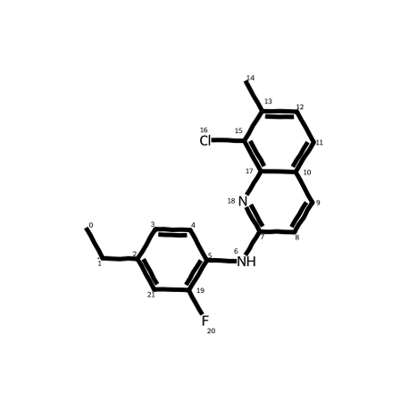 C[CH]c1ccc(Nc2ccc3ccc(C)c(Cl)c3n2)c(F)c1